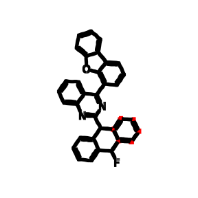 FC12c3ccccc3C(c3nc(-c4cccc5c4oc4ccccc45)c4ccccc4n3)(c3ccccc31)c1ccccc12